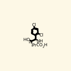 CC(C)[C@@H](O)[C@H](NC(=O)O)c1ccc(Cl)cc1Cl